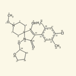 CON1CCC2(CC1)C(O)=C(c1cc(C)c(Cl)cc1C)C(=O)N2OC1CCCO1